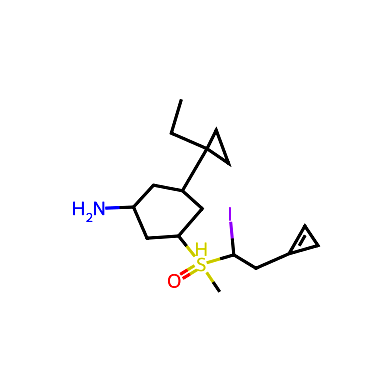 CCC1(C2CC(N)CC([SH](C)(=O)C(I)CC3=CC3)C2)CC1